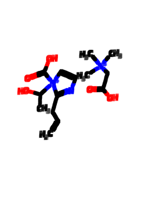 C=CCC1=NC=C[N+]1(C(=O)O)C(C)O.C[N+](C)(C)CC(=O)O